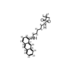 CC(C)(C)S(=O)(=O)NCCCCCNc1cccc2cc3ccccc3cc12